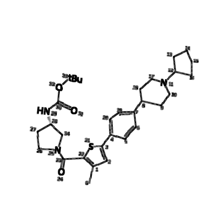 Cc1cc(-c2ccc(C3CCN(C4CCCC4)CC3)cc2)sc1C(=O)N1CC[C@H](NC(=O)OC(C)(C)C)C1